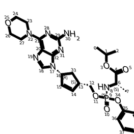 CC(C)OC(=O)[C@H](C)N[P@](=O)(OC[C@@H]1C=C[C@H](n2cnc3c(N4CCOCC4)nc(N)nc32)C1)Oc1ccccc1